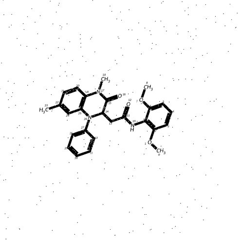 COc1cccc(OC)c1NC(=O)CC1C(=O)N(C)c2ccc(C)cc2N1c1ccccc1